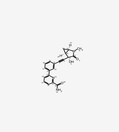 CN1C(=O)[C@@](O)(C#Cc2cccc(-c3cccc(C(N)=O)n3)c2)[C@H]2C[C@H]21